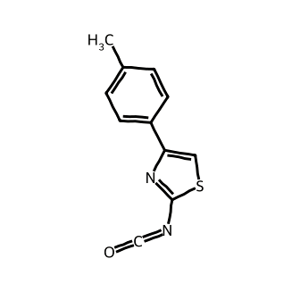 Cc1ccc(-c2csc(N=C=O)n2)cc1